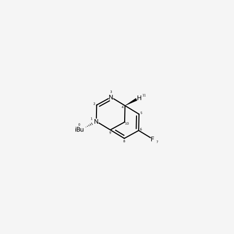 CC[C@@H](C)N1C=N[C@@H]2C=C(F)C=C1C2